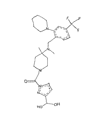 CN(Cc1ccc(C(F)(F)F)cc1N1CCCCC1)C1(C)CCN(C(=O)n2ccc(C(O)O)n2)CC1